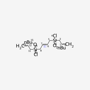 C=CC[Si](Cl)(C/C=C/C[Si](Cl)(CC=C)OCCCC)OCCCC